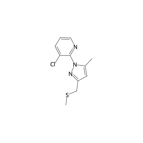 CSCc1cc(C)n(-c2ncccc2Cl)n1